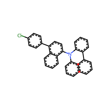 Clc1ccc(-c2ccc(N(c3ccccc3)c3ccccc3-c3ccccc3)c3ccccc23)cc1